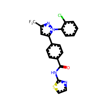 O=C(Nc1nccs1)c1ccc(-c2cc(C(F)(F)F)nn2-c2ccccc2Cl)cc1